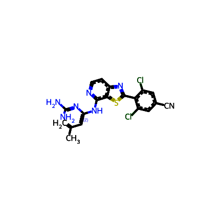 C=C(C)/C=C(\N=C(N)N)Nc1nccc2nc(-c3c(Cl)cc(C#N)cc3Cl)sc12